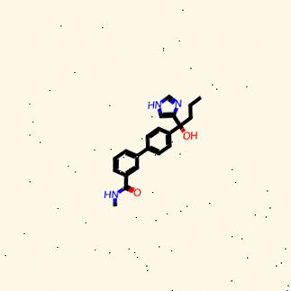 CCCC(O)(c1ccc(-c2cccc(C(=O)NC)c2)cc1)c1c[nH]cn1